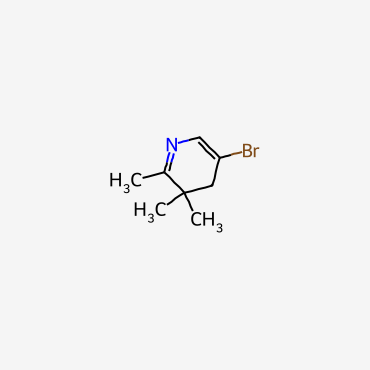 CC1=NC=C(Br)CC1(C)C